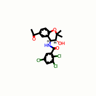 CC(=O)c1ccc2c(c1)[C@H](NC(=O)c1cc(Cl)cc(Cl)c1Cl)[C@@H](O)C(C)(C)O2